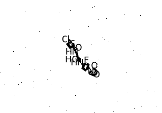 O=C(NC[C@@H](O)CNc1ccc(N2CCOCC2=O)cc1F)c1ccc(Cl)s1